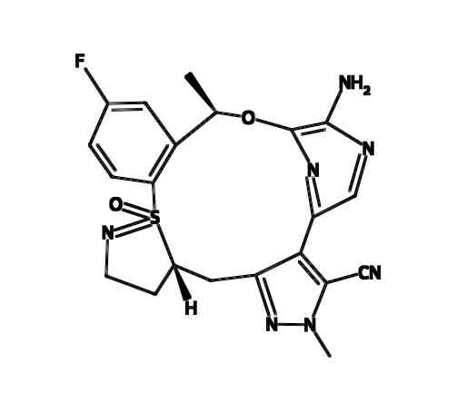 C[C@H]1Oc2nc(cnc2N)-c2c(nn(C)c2C#N)C[C@@H]2CCN=S2(=O)c2ccc(F)cc21